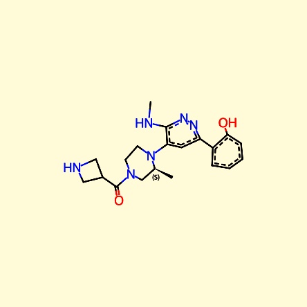 CNc1nnc(-c2ccccc2O)cc1N1CCN(C(=O)C2CNC2)C[C@@H]1C